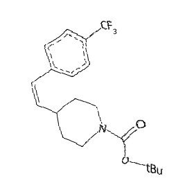 CC(C)(C)OC(=O)N1CCC(/C=C\c2ccc(C(F)(F)F)cc2)CC1